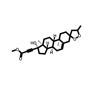 COC(=O)C#C[C@]1(O)CC[C@H]2[C@@H]3CC=C4CC5(CC[C@]4(C)[C@H]3CC[C@@]21C)CC(C)OO5